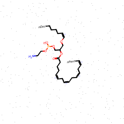 CCCCC/C=C\C/C=C\C/C=C\C/C=C\CCCC(=O)OC(CO/C=C\CCCCCCCCCCCCCC)COP(O)OCCN